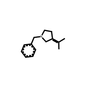 CC(C)=C1CCN(Cc2ccccc2)C1